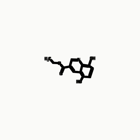 CCOC(=O)c1cnc2c(O)ccc(O)c2c1